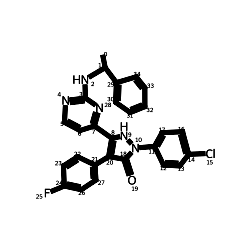 CC(Nc1nccc(-c2[nH]n(-c3ccc(Cl)cc3)c(=O)c2-c2ccc(F)cc2)n1)c1ccccc1